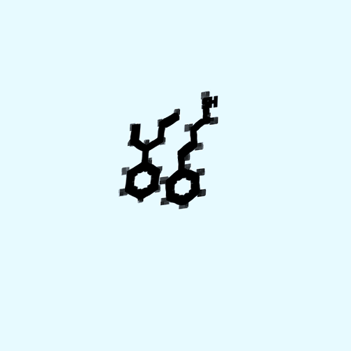 C=CCC(C=C)c1ccccc1.SSCC=Cc1ccccc1